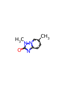 Cc1ccc2nc(=O)n(C)n2c1